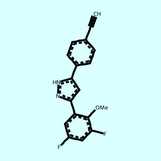 C#Cc1ccc(-c2cc(-c3cc(F)cc(F)c3OC)n[nH]2)cc1